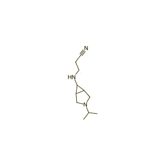 CC(C)N1CC2C(C1)C2NCCC#N